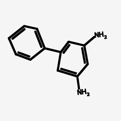 Nc1cc(N)cc(-c2ccccc2)c1